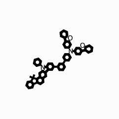 CC1(C)c2ccccc2-c2ccc3cc4c5cc(-c6cccc(-c7ccc(N(c8ccc9c(c8)oc8ccccc89)c8ccc9c(c8)oc8ccccc89)cc7)c6)ccc5n(-c5ccccc5)c4cc3c21